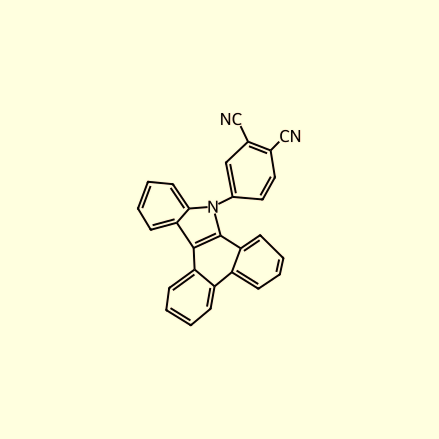 N#Cc1ccc(-n2c3ccccc3c3c4ccccc4c4ccccc4c32)cc1C#N